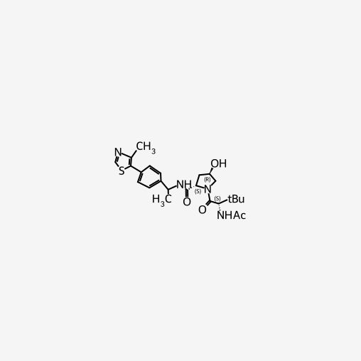 CC(=O)N[C@H](C(=O)N1C[C@H](O)C[C@H]1C(=O)NC(C)c1ccc(-c2scnc2C)cc1)C(C)(C)C